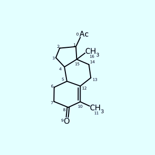 CC(=O)C1CCC2C3CCC(=O)C(C)=C3CCC12C